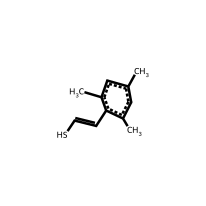 Cc1cc(C)c(C=CS)c(C)c1